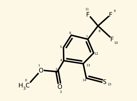 COC(=O)c1ccc(C(F)(F)F)cc1C=S